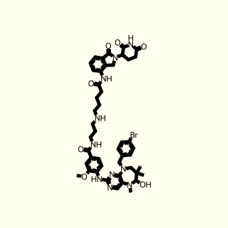 COc1cc(C(=O)NCCCNCCCCC(=O)Nc2cccc3c2CN(C2CCC(=O)NC2=O)C3=O)ccc1Nc1ncc2c(n1)N(Cc1ccc(Br)cc1)CC(C)(C)C(O)N2C